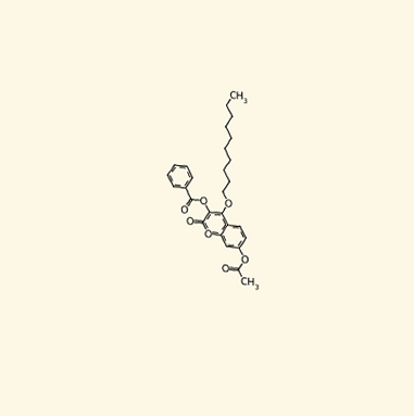 CCCCCCCCCCOc1c(OC(=O)c2ccccc2)c(=O)oc2cc(OC(C)=O)ccc12